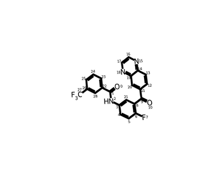 O=C(Nc1ccc(F)c(C(=O)c2ccc3nccnc3c2)c1)c1cccc(C(F)(F)F)c1